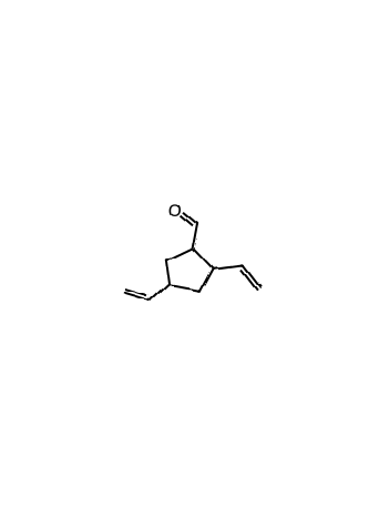 C=CC1CC(C=C)C(C=O)C1